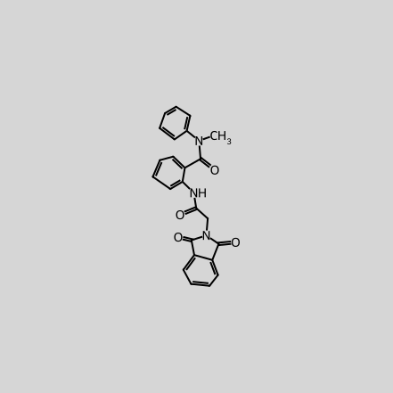 CN(C(=O)c1ccccc1NC(=O)CN1C(=O)c2ccccc2C1=O)c1ccccc1